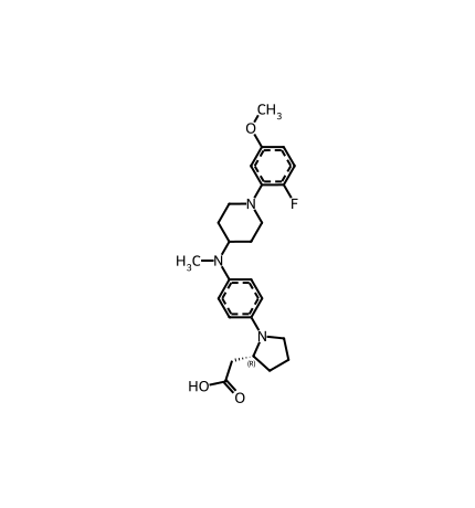 COc1ccc(F)c(N2CCC(N(C)c3ccc(N4CCC[C@@H]4CC(=O)O)cc3)CC2)c1